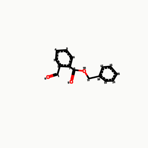 O=Cc1ccccc1C(=O)OCc1ccccc1